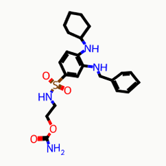 NC(=O)OCCNS(=O)(=O)c1ccc(NC2CCCCC2)c(NCc2ccccc2)c1